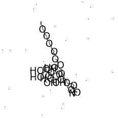 C=CCOCCOCCOCCOCCOCCOCCOCC(COC1COC(C)(C(=O)N(C)C)OC1)O[C@@H]1O[C@@H](CO)[C@@H](O[C@@H]2OC(CO)[C@H](O)[C@H](O)C2O)C(O)C1O